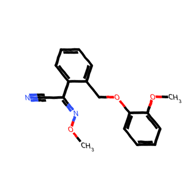 CON=C(C#N)c1ccccc1COc1ccccc1OC